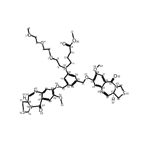 COCCOCCOCCN(CCCC(=O)OC)c1cc(COc2cc3c(cc2OC)C(=O)N2CSC[C@H]2C=N3)cc(COc2cc3c(cc2OC)C(=O)N2CSC[C@H]2C=N3)c1